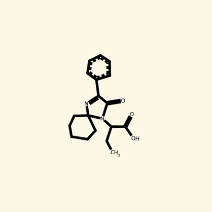 CCC(C(=O)O)N1C(=O)C(c2ccccc2)=NC12CCCCC2